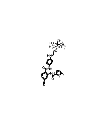 CC(C)(C)[Si](C)(C)OCCNc1ccc(NC(=O)c2ccc(C#N)cc2NC(=O)c2ccc(Cl)s2)cc1